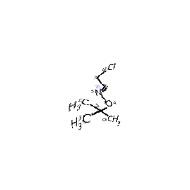 CC(C)(C)O/N=C/CCl